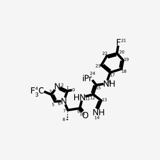 Cc1nc(C(F)(F)F)cn1[C@@H](C)C(=O)N/C(C=N)=C(/Nc1ccc(F)cc1)C(C)C